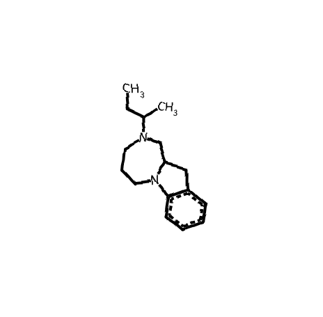 CCC(C)N1CCCN2c3ccccc3CC2C1